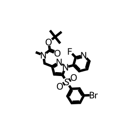 CN(Cc1cc(S(=O)(=O)c2cccc(Br)c2)n(-c2cccnc2F)n1)C(=O)OC(C)(C)C